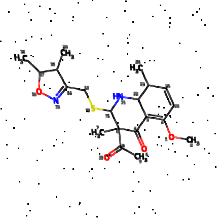 COC1=C2C(=O)C(C)(C(C)=O)C(SCC3=NOC(C)C3C)NC2C(C)C=C1